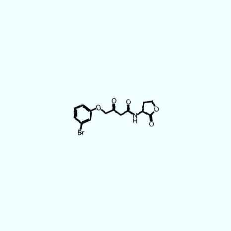 O=C(COc1cccc(Br)c1)CC(=O)NC1CCOC1=O